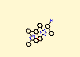 N#Cc1cccc(-c2ccccc2-c2nc(-c3ccccc3)nc(-c3ccccc3-c3cccc(-c4ccccc4-c4nc(-c5ccccc5)c5ccccc5n4)c3)n2)c1